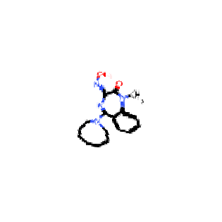 Cn1c(=O)c(=NO)nc(N2CCCCCCC2)c2ccccc21